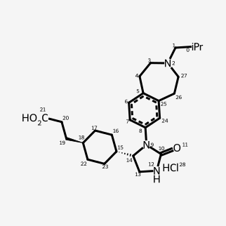 CC(C)CN1CCc2ccc(N3C(=O)NCC3[C@H]3CC[C@H](CCC(=O)O)CC3)cc2CC1.Cl